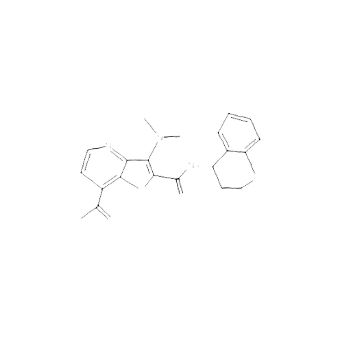 CC(=O)c1ccnc2c(N(C)C)c(C(=O)N[C@H]3CCOc4ccccc43)sc12